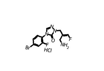 Cl.NC/C(=C\F)Cn1ncn(-c2ccc(Br)cc2F)c1=O